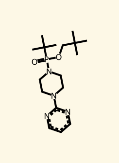 CC(C)(C)COP(=O)(N1CCN(c2ncccn2)CC1)C(C)(C)C